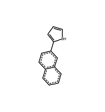 B1C=CC=C1c1ccc2ccccc2c1